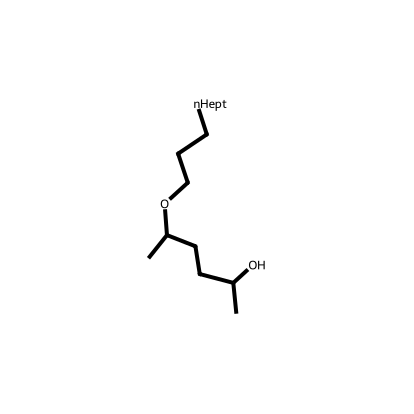 CCCCCCCCCCOC(C)CCC(C)O